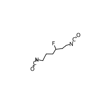 O=C=NCCCC(F)CCN=C=O